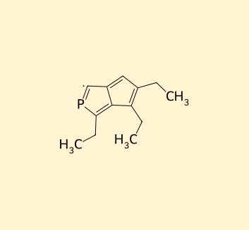 CCC1=C(CC)C2=C(CC)P=[C]C2=C1